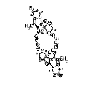 CNC(=O)c1c(-c2ccc(F)cc2)oc2ccc3c(c12)CCOCCOc1ccc2oc(-c4ccc(F)cc4)c(C(=O)NC)c2c1CCOCCO3